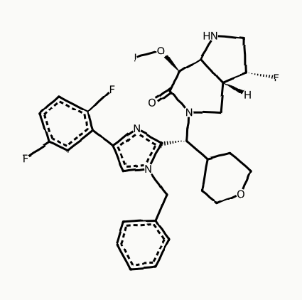 O=C1[C@@H](OI)C2NC[C@H](F)[C@@H]2CN1[C@@H](c1nc(-c2cc(F)ccc2F)cn1Cc1ccccc1)C1CCOCC1